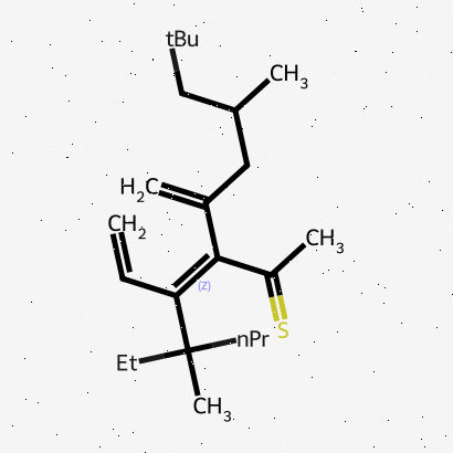 C=C/C(=C(\C(=C)CC(C)CC(C)(C)C)C(C)=S)C(C)(CC)CCC